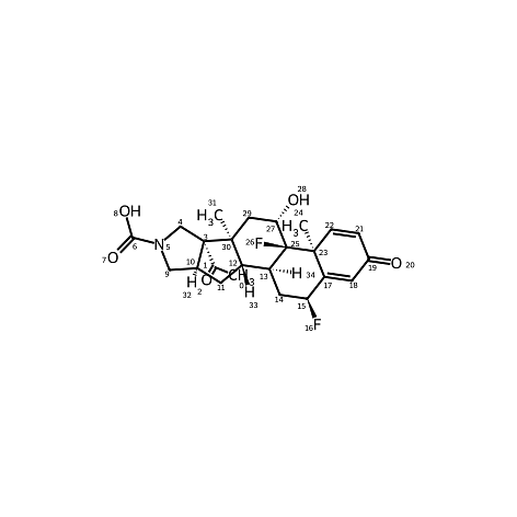 CC(=O)[C@@]12CN(C(=O)O)C[C@@H]1C[C@H]1[C@@H]3C[C@H](F)C4=CC(=O)C=C[C@]4(C)[C@@]3(F)[C@@H](O)C[C@@]12C